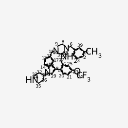 Cc1cccc(CN2CCN(Cc3ccc4c(c3)c(-c3ccc(OC(F)(F)F)cc3CN)cn4C3CCNCC3)CC2)c1